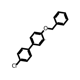 Clc1ccc(-c2c[c]c(OCc3ccccc3)cc2)cc1